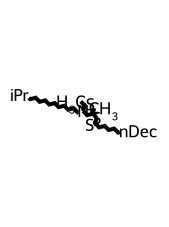 CCCCCCCCCCCCCCCC(=S)SC(C)CN(CCCCCCCCCCCC(C)C)C(C)=S